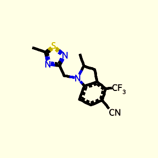 Cc1nc(CN2c3ccc(C#N)c(C(F)(F)F)c3CC2C)ns1